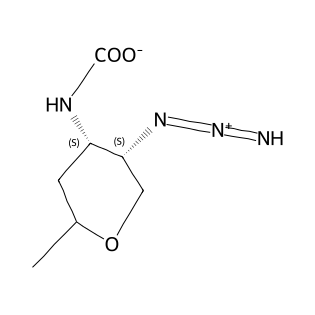 CC1C[C@H](NC(=O)[O-])[C@H](N=[N+]=N)CO1